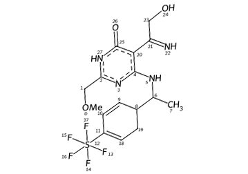 COCc1nc(NC(C)C2C=CC(S(F)(F)(F)(F)F)=CC2)c(C(=N)CO)c(=O)[nH]1